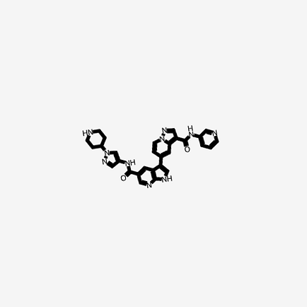 O=C(Nc1cnn(C2CCNCC2)c1)c1cnc2[nH]cc(-c3ccn4ncc(C(=O)Nc5cccnc5)c4c3)c2c1